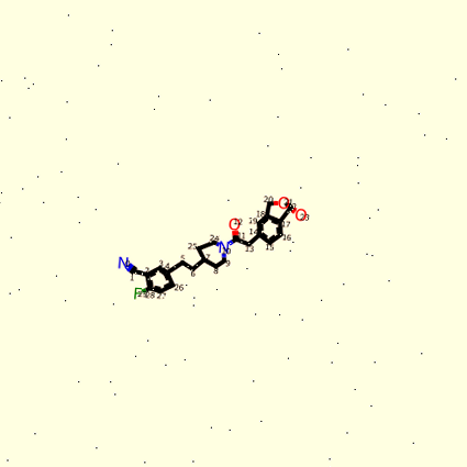 N#Cc1cc(CCC2CCN(C(=O)Cc3ccc4c(c3)COC4=O)CC2)ccc1F